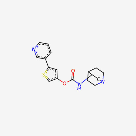 O=C(NC1CN2CCC1CC2)Oc1csc(-c2cccnc2)c1